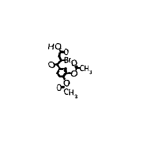 CC(=O)Oc1ccc(C(=O)C(Br)CC(=O)O)cc1OC(C)=O